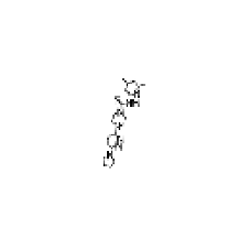 Cc1cc(C)nc(NC(=S)N2CCN(c3ccc(N4CCCC4)nn3)CC2)c1